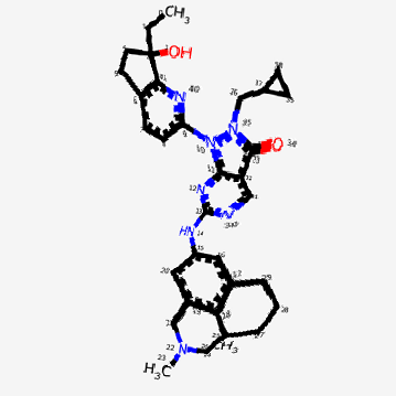 CCC1(O)CCc2ccc(-n3c4nc(Nc5cc6c7c(c5)CN(C)CC7(C)CCC6)ncc4c(=O)n3CC3CC3)nc21